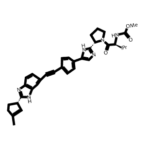 COC(=O)N[C@H](C(=O)N1CCC[C@H]1c1ncc(-c2ccc(C#Cc3ccc4nc([C@@H]5C=C(C)CC5)[nH]c4c3)cc2)[nH]1)C(C)C